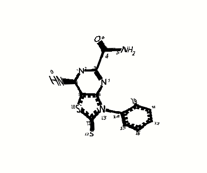 N=C1[N]C(C(N)=O)=Nc2c1sc(=S)n2-c1ccccc1